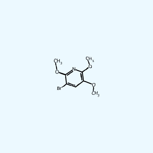 COc1cc(Br)c(OC)nc1OC